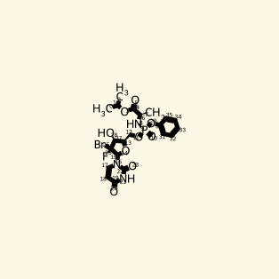 CC(C)OC(=O)[C@H](C)N[P@](=O)(OC[C@H]1OC(n2ccc(=O)[nH]c2=O)[C@](F)(Br)[C@@H]1O)Oc1ccccc1